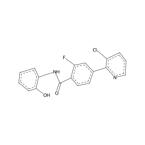 O=C(Nc1ccccc1O)c1ccc(-c2ncccc2Cl)cc1F